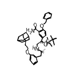 C[C@H](Cc1cccc(OCCC23CC4CC(CC(C4)C2)C3)c1)NC[C@H](O[Si](C)(C)C(C)(C)C)c1ccc(OCc2ccccc2)c(C(N)=O)c1